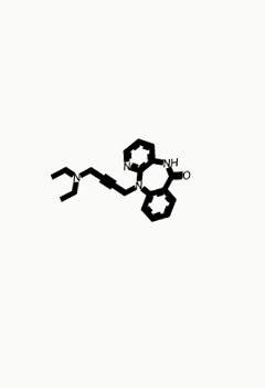 CCN(CC)CC#CCN1c2ccccc2C(=O)Nc2cccnc21